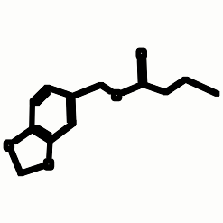 CCCC(=O)OCc1ccc2c(c1)OCO2